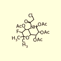 CC(=O)OC[C@@H](OC(C)=O)[C@@H](OC(C)=O)C1OC(C)(C)C(F)C(OC(C)=O)C1NC(=O)CCl